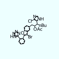 CCCCC(c1[nH]cnc1Cl)C(Cc1ccc2oc(-c3ccccc3-c3nnn[nH]3)c(Br)c2c1)OC(C)=O